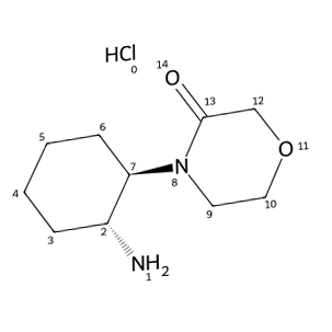 Cl.N[C@@H]1CCCC[C@H]1N1CCOCC1=O